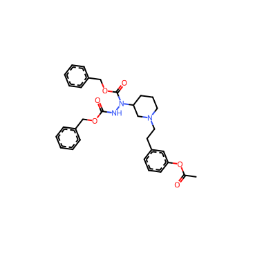 CC(=O)Oc1cccc(CCN2CCCC(N(NC(=O)OCc3ccccc3)C(=O)OCc3ccccc3)C2)c1